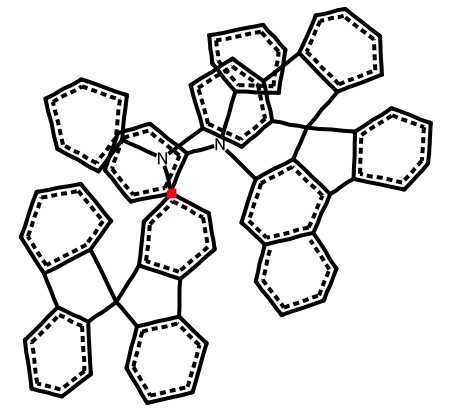 c1ccc(N(c2ccc3c(c2)C2(c4ccccc4-c4ccccc42)c2ccccc2-3)c2ccc3c(c2)C2(c4ccccc4-3)c3ccccc3-c3c2c(N(c2ccccc2)c2ccccc2)cc2ccccc32)cc1